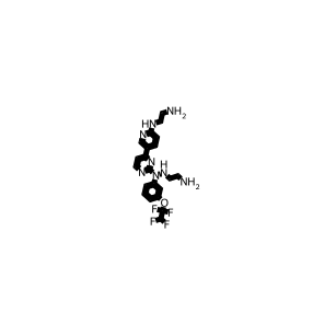 NCCNc1ccc(-c2ccnc(N(NCCN)c3cccc(OC(F)(F)C(F)F)c3)n2)cn1